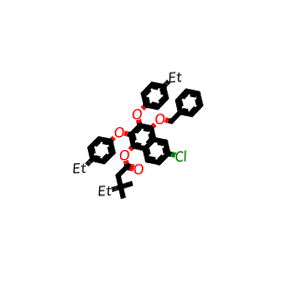 CCc1ccc(Oc2c(Oc3ccc(CC)cc3)c(OC(=O)CC(C)(C)CC)c3ccc(Cl)cc3c2OCc2ccccc2)cc1